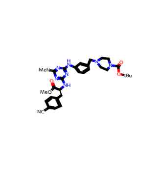 CNc1nc(Nc2cccc(CN3CCN(C(=O)OC(C)(C)C)CC3)c2)nc(N[C@@H](Cc2ccc(C#N)cc2)C(=O)OC)n1